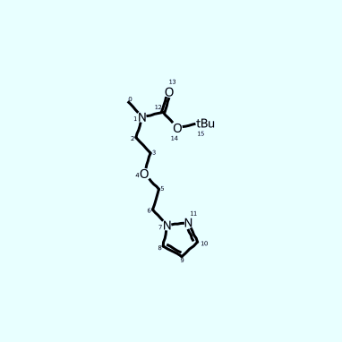 CN(CCOCCn1cccn1)C(=O)OC(C)(C)C